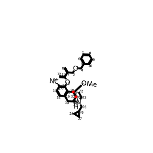 C=C(COCc1ccccc1)C(=C)Oc1c(C#N)ccc2c1[C@]13CCN(CC4CC4)[C@H](C2)C1CCC(OC)C3